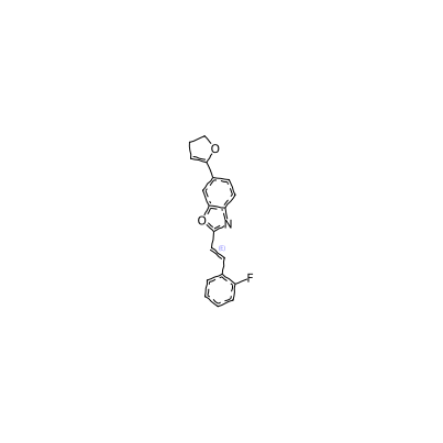 Fc1ccccc1/C=C/c1nc2ccc(C3=CCCO3)cc2o1